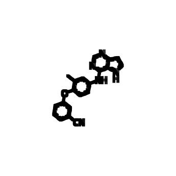 Cc1cc(Nc2ncnc3cc[nH]c23)ccc1Oc1cccc(C#N)c1